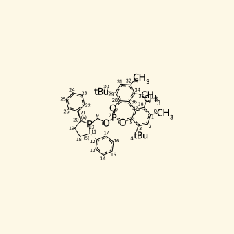 Cc1cc(C(C)(C)C)c2op(OCP3[C@H](c4ccccc4)CC[C@H]3c3ccccc3)oc3c(C(C)(C)C)cc(C)c(C)c3c2c1C